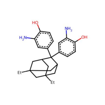 CCC12CC3CC(CC)(CC(C1)C3(c1ccc(O)c(N)c1)c1ccc(O)c(N)c1)C2